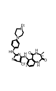 CCN1CCN(c2ccc(Nc3ncc(C(F)(F)F)c(Nc4cccc5c4C(=O)N[C@@H](C)C(=O)N5)n3)cc2)CC1